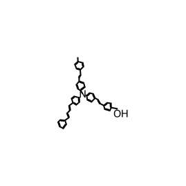 Cc1ccc(/C=C/c2ccc(N(c3ccc(/C=C/C=C/c4ccccc4)cc3)c3ccc(/C=C/c4ccc(CO)cc4)cc3)cc2)cc1